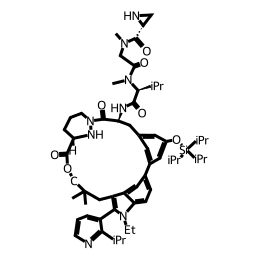 CCn1c(-c2cccnc2C(C)C)c2c3cc(ccc31)-c1cc(cc(O[Si](C(C)C)(C(C)C)C(C)C)c1)C[C@H](NC(=O)[C@H](C(C)C)N(C)C(=O)CN(C)C(=O)[C@H]1CN1)C(=O)N1CCC[C@H](N1)C(=O)OCC(C)(C)C2